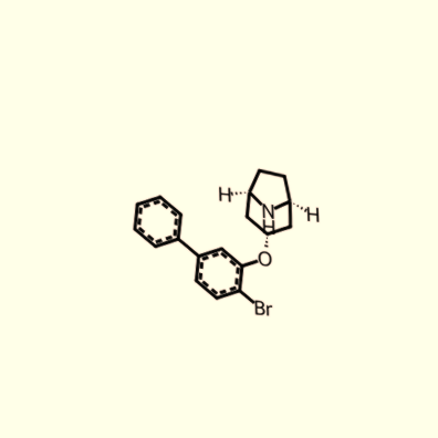 Brc1ccc(-c2ccccc2)cc1O[C@@H]1C[C@H]2CC[C@@H](C1)N2